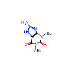 CCCCn1c(=O)c2[nH]c(N)nc2n(CCCC)c1=O